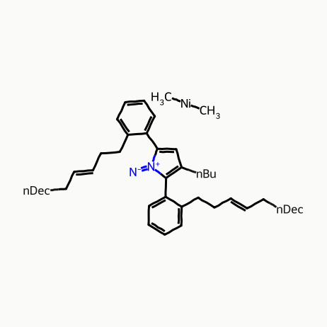 CCCCCCCCCCCC=CCCc1ccccc1C1=CC(CCCC)=C(c2ccccc2CCC=CCCCCCCCCCCC)[N+]1=[N-].[CH3][Ni][CH3]